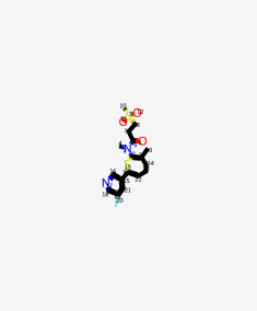 CC1=C(N(C)C(=O)CCS(C)(=O)=O)SC(c2cncc(F)c2)=CCC1